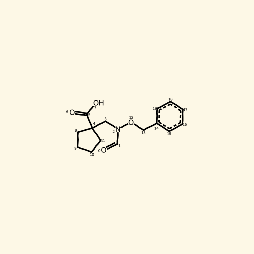 O=CN(CC1(C(=O)O)CCCC1)OCc1ccccc1